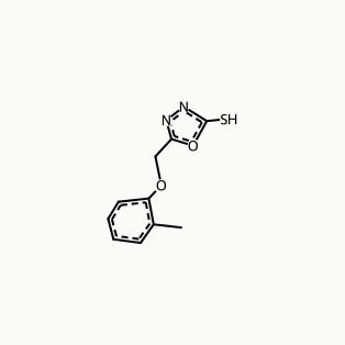 Cc1ccccc1OCc1nnc(S)o1